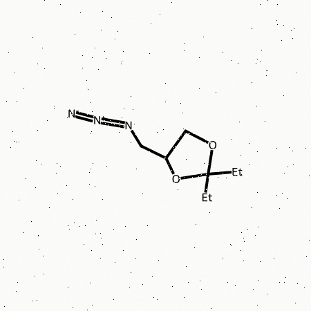 CCC1(CC)OCC(CN=[N+]=[N-])O1